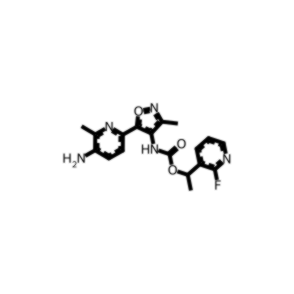 Cc1nc(-c2onc(C)c2NC(=O)OC(C)c2cccnc2F)ccc1N